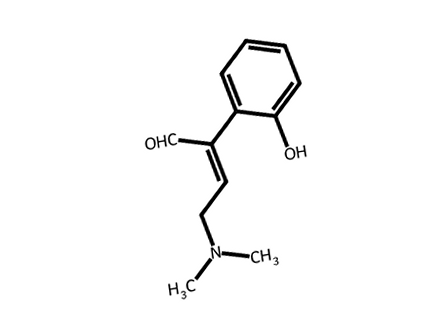 CN(C)CC=C(C=O)c1ccccc1O